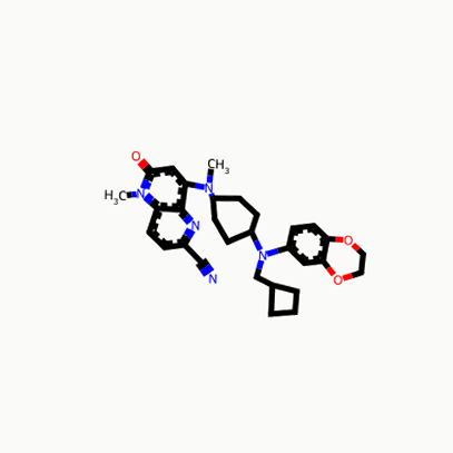 CN(c1cc(=O)n(C)c2ccc(C#N)nc12)C1CCC(N(CC2CCC2)c2ccc3c(c2)OCCO3)CC1